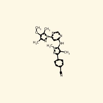 COc1c(C)nn(-c2cc(Nc3c(C)c(-c4ccc(C#N)cc4)nn3C)ncn2)c1C